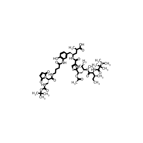 CC[C@H](C)[C@H](NC(=O)C(C)(C)N(C)C)C(=O)N(C)[C@H](C[C@@H](OC(C)=O)c1nc(C(=O)N[C@@H](Cc2ccc(O)c(NC(=O)CCCNC(=O)[C@H](CNC(=O)OC(C)(C)C)N3C(=O)C=CC3=O)c2)CC(C)C(=O)O)cs1)C(C)C